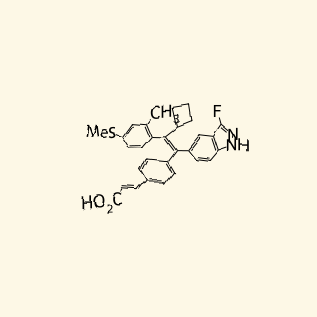 CSc1ccc(C(=C(c2ccc(C=CC(=O)O)cc2)c2ccc3[nH]nc(F)c3c2)C2CCC2)c(C)c1